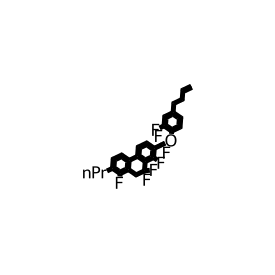 C=CCCc1ccc(OC(F)(F)c2ccc3c(c2F)C(F)(F)Cc2c-3ccc(CCC)c2F)c(F)c1